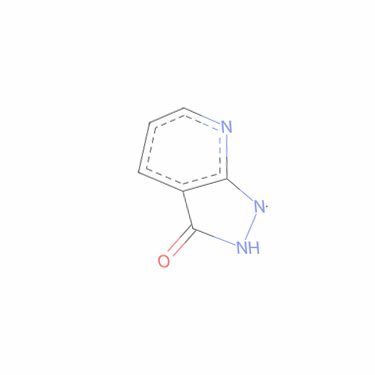 O=C1N[N]c2ncccc21